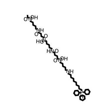 CC(=O)N(O)CCCCCNC(=O)CCC(=O)N(O)CCCCCNC(=O)CCC(=O)N(O)CCCCCNCCCCCCCCCC[PH](C1CCCCC1)(C1CCCCC1)C1CCCCC1